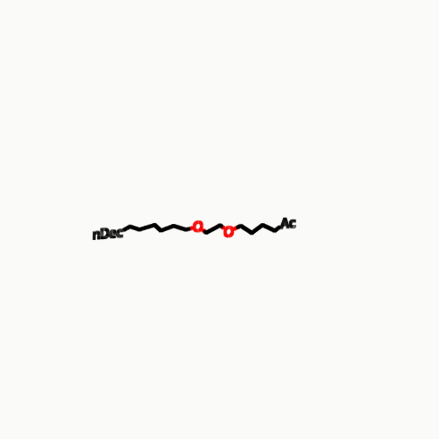 CCCCCCCCCCCCCCCCOCCOCCCCC(C)=O